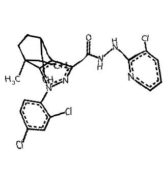 CC12CCC(c3c(C(=O)NNc4ncccc4Cl)nn(-c4ccc(Cl)cc4Cl)c31)C2(C)C